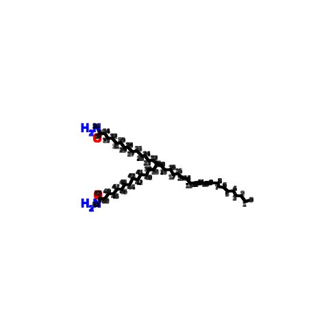 CCCCCCCCCC#CC#CCCCCCCCCC(CCCCCCCCCCCCCC(N)=O)CCCCCCCCCCCCCC(N)=O